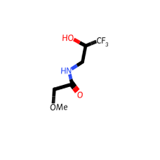 COCC(=O)NCC(O)C(F)(F)F